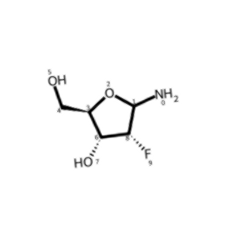 NC1O[C@H](CO)[C@@H](O)[C@H]1F